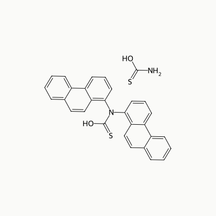 NC(O)=S.OC(=S)N(c1cccc2c1ccc1ccccc12)c1cccc2c1ccc1ccccc12